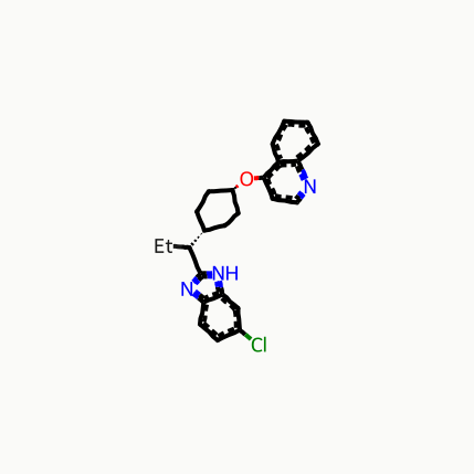 CCC(c1nc2ccc(Cl)cc2[nH]1)[C@H]1CC[C@@H](Oc2ccnc3ccccc23)CC1